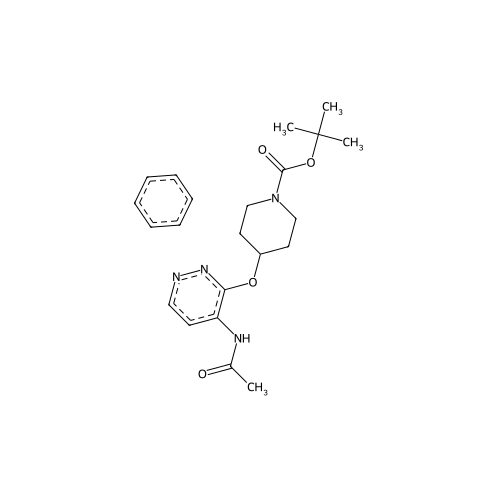 CC(=O)Nc1ccnnc1OC1CCN(C(=O)OC(C)(C)C)CC1.c1ccccc1